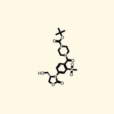 CC(C)(C)OC(=O)N1CCN(C(=O)c2ccc(N3C(=O)OC[C@H]3CO)cc2S(C)(=O)=O)CC1